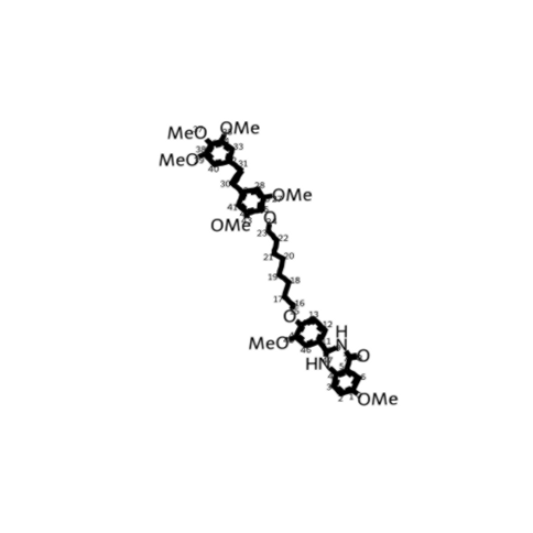 COc1ccc2c(c1)C(=O)NC(c1ccc(OCCCCCCCCOc3c(OC)cc(C=Cc4cc(OC)c(OC)c(OC)c4)cc3OC)c(OC)c1)N2